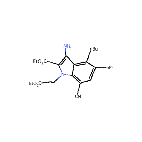 CCCCc1c(CCC)cc(C#N)c2c1c(N)c(C(=O)OCC)n2CC(=O)OCC